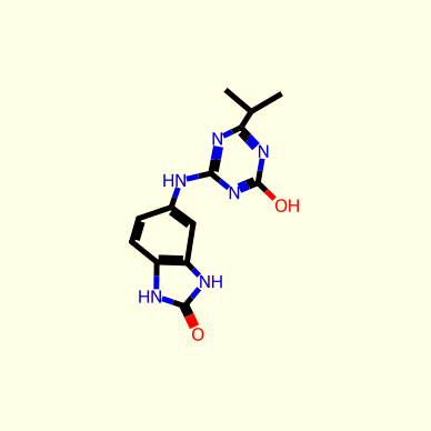 CC(C)c1nc(O)nc(Nc2ccc3[nH]c(=O)[nH]c3c2)n1